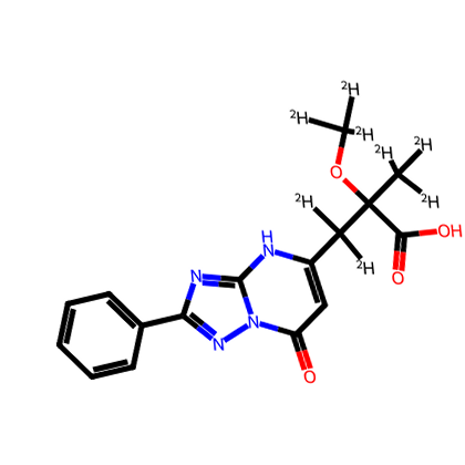 [2H]C([2H])([2H])OC(C(=O)O)(C([2H])([2H])[2H])C([2H])([2H])c1cc(=O)n2nc(-c3ccccc3)nc2[nH]1